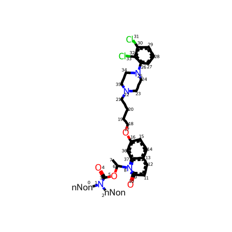 CCCCCCCCCN(CCCCCCCCC)C(=O)OC(C)n1c(=O)ccc2ccc(OCCCCN3CCN(c4cccc(Cl)c4Cl)CC3)cc21